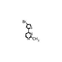 Cc1nccc(-c2cc(Br)cs2)n1